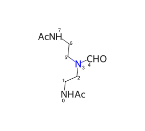 CC(=O)NCCN(C=O)CCNC(C)=O